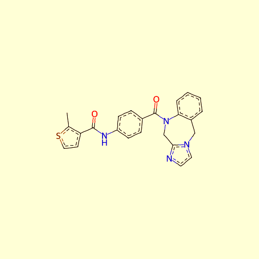 Cc1sccc1C(=O)Nc1ccc(C(=O)N2Cc3nccn3Cc3ccccc32)cc1